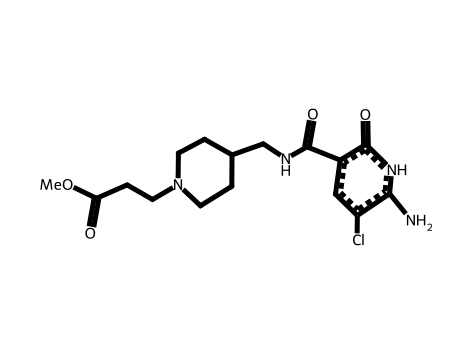 COC(=O)CCN1CCC(CNC(=O)c2cc(Cl)c(N)[nH]c2=O)CC1